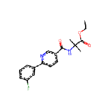 CCOC(=O)C(C)(C)NC(=O)c1ccc(-c2cccc(F)c2)nc1